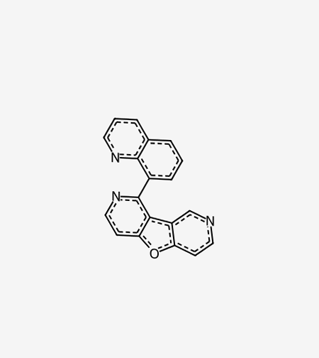 c1cnc2c(-c3nccc4oc5ccncc5c34)cccc2c1